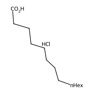 CCCCCCCCCCCCCC(=O)O.Cl